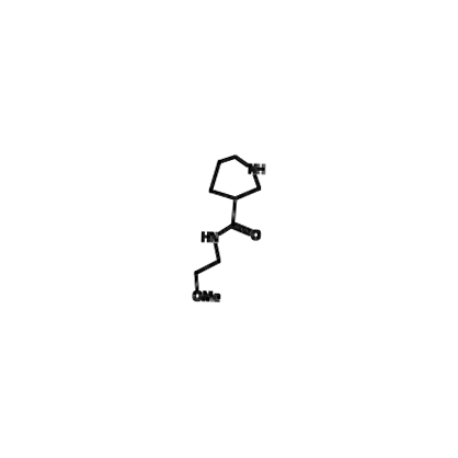 COCCNC(=O)C1CCCNC1